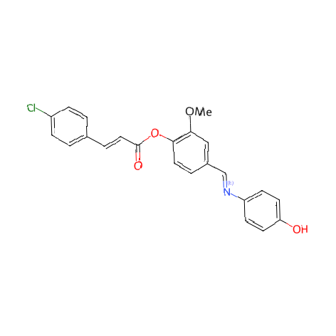 COc1cc(/C=N/c2ccc(O)cc2)ccc1OC(=O)C=Cc1ccc(Cl)cc1